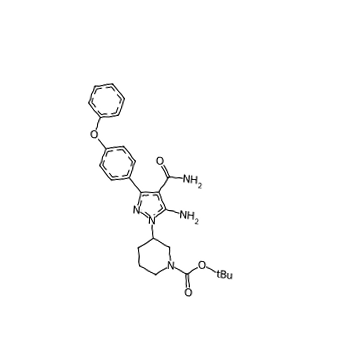 CC(C)(C)OC(=O)N1CCCC(n2nc(-c3ccc(Oc4ccccc4)cc3)c(C(N)=O)c2N)C1